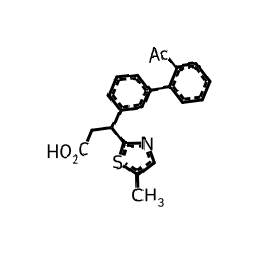 CC(=O)c1ccccc1-c1cccc(C(CC(=O)O)c2ncc(C)s2)c1